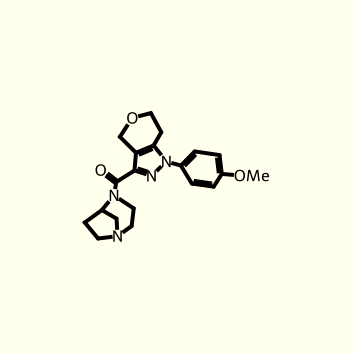 COc1ccc(-n2nc(C(=O)N3CCN4CCC3C4)c3c2CCOC3)cc1